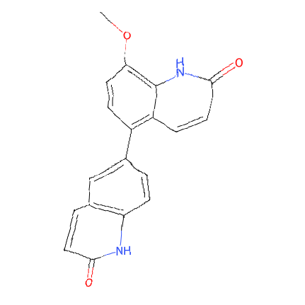 COc1ccc(-c2ccc3[nH]c(=O)ccc3c2)c2ccc(=O)[nH]c12